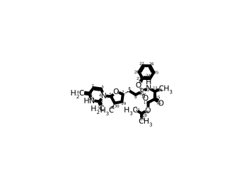 C=C1C=CN(C2O[C@H](CCP(=O)(NC(C)C(=O)COC(C)C)Oc3ccccc3)C[C@@H]2C)C(=C)N1